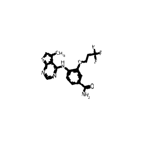 Cc1csc2ncnc(Nc3ccc(C(N)=O)cc3OCCC(F)(F)F)c12